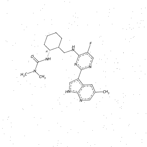 Cc1cnc2[nH]cc(-c3ncc(F)c(NCC4CCCC[C@H]4NC(=O)N(C)C)n3)c2c1